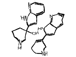 C1=C(c2cc3cccnc3[nH]2)CNCC1.OC1(c2cc3cccnc3[nH]2)CCCNC1